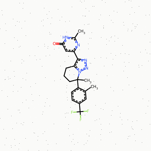 Cc1nc(-c2nnn3c2CCCC3(C)c2ccc(C(F)(F)F)cc2C)cc(=O)[nH]1